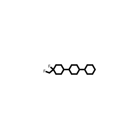 FCC1(F)CCC(C2CCC(C3CCCCC3)CC2)CC1